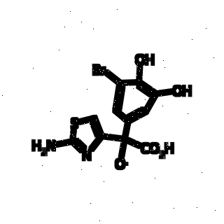 Nc1nc(C([O])(C(=O)O)c2cc(O)c(O)c(Br)c2)cs1